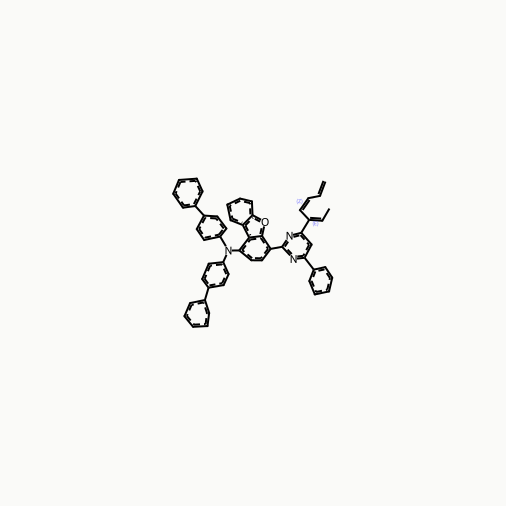 C=C/C=C\C(=C/C)c1cc(-c2ccccc2)nc(-c2ccc(N(c3ccc(-c4ccccc4)cc3)c3ccc(-c4ccccc4)cc3)c3c2oc2ccccc23)n1